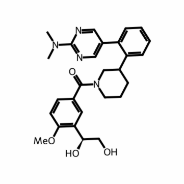 COc1ccc(C(=O)N2CCCC(c3ccccc3-c3cnc(N(C)C)nc3)C2)cc1[C@H](O)CO